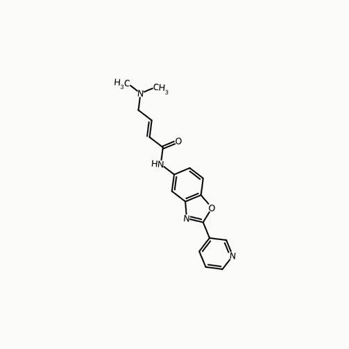 CN(C)C/C=C/C(=O)Nc1ccc2oc(-c3cccnc3)nc2c1